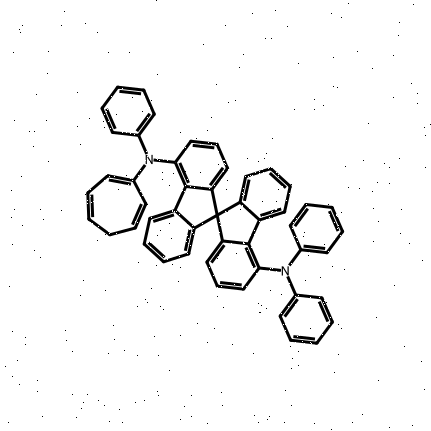 C1=CCC=CC(N(c2ccccc2)c2cccc3c2-c2ccccc2C32c3ccccc3-c3c(N(c4ccccc4)c4ccccc4)cccc32)=C1